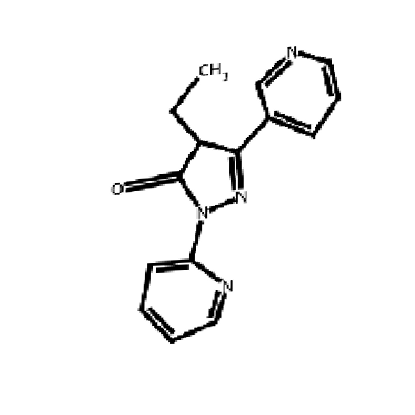 CCC1C(=O)N(c2ccccn2)N=C1c1cccnc1